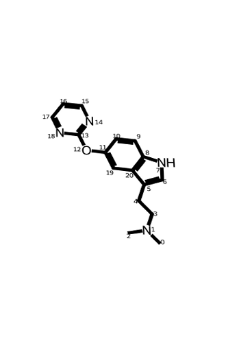 CN(C)CCc1c[nH]c2ccc(Oc3ncccn3)cc12